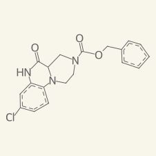 O=C1Nc2cc(Cl)ccc2N2CCN(C(=O)OCc3ccccc3)CC12